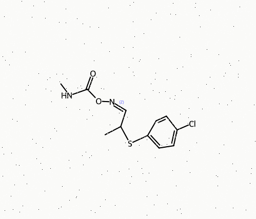 CNC(=O)O/N=C\C(C)Sc1ccc(Cl)cc1